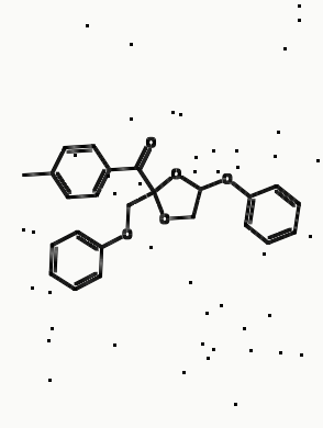 Cc1ccc(C(=O)C2(COc3ccccc3)OCC(Oc3ccccc3)O2)cc1